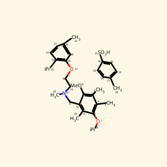 COc1c(C)c(C)c(OC(C)C)c(C)c1CN(C)CCOc1cc(C)ccc1C(C)C.Cc1ccc(S(=O)(=O)O)cc1